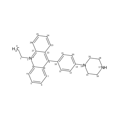 CC[n+]1c2ccccc2c(-c2ccc(N3CCNCC3)cc2)c2ccccc21